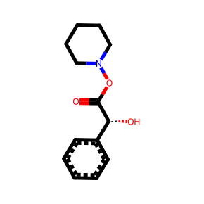 O=C(ON1CCCCC1)[C@H](O)c1ccccc1